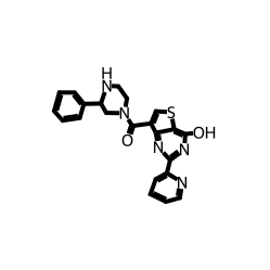 O=C(c1csc2c(O)nc(-c3ccccn3)nc12)N1CCNC(c2ccccc2)C1